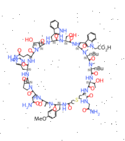 CCCC[C@H]1C(=O)N(C)[C@@H](CCCC)C(=O)N[C@@H](C(C)O)C(=O)N[C@H](C(=O)NCC(N)=O)CSCC(=O)N[C@@H](Cc2ccc(OC)cc2)C(=O)N(C)[C@@H](C)C(=O)N[C@@H](CC(N)=O)C(=O)N2CCC[C@H]2C(=O)N[C@@H](Cc2c[nH]cn2)C(=O)N[C@@H](CCC(N)=O)C(=O)N2C[C@H](O)C[C@H]2C(=O)N[C@@H](Cc2c[nH]c3ccccc23)C(=O)N[C@@H](CO)C(=O)N[C@@H](Cc2cn(CC(=O)O)c3ccccc23)C(=O)N1C